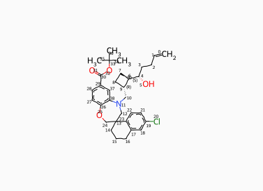 C=CCC[C@H](O)[C@@H]1CC[C@H]1CN1CC2(CCCc3cc(Cl)ccc32)COc2ccc(C(=O)OC(C)(C)C)cc21